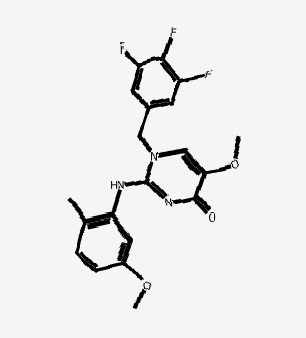 COc1ccc(C)c(Nc2nc(=O)c(OC)cn2Cc2cc(F)c(F)c(F)c2)c1